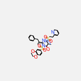 CC(CS(=O)(=O)CCc1ccccn1)C(=O)N([C@H](N)[C@@H](C)Cc1ccccc1)S(=O)(=O)c1ccc2c(c1)OCCO2